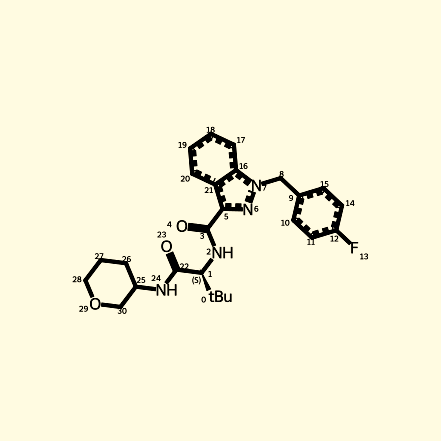 CC(C)(C)[C@H](NC(=O)c1nn(Cc2ccc(F)cc2)c2ccccc12)C(=O)NC1CCCOC1